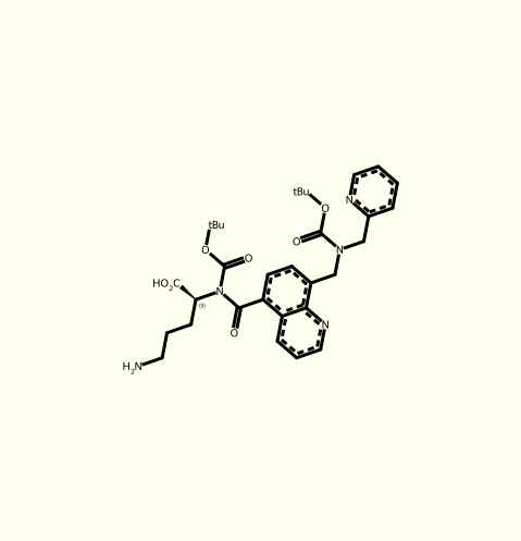 CC(C)(C)OC(=O)N(Cc1ccccn1)Cc1ccc(C(=O)N(C(=O)OC(C)(C)C)[C@@H](CCCN)C(=O)O)c2cccnc12